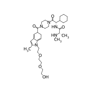 CN[C@@H](C)C(=O)N[C@H](C(=O)N1CCN(C(=O)C2C=c3cc(C)n(CCOCCOCCO)c3=CC2)CC1)C1CCCCC1